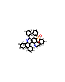 O=P(c1ccccc1)(c1ccccc1)c1cc2c(-c3ccccc3)nc3c4ccccc4c4ccccc4c3c2c2ncccc12